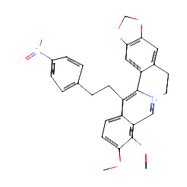 COc1ccc2c(CCc3ccc([N+](=O)[O-])cc3)c3[n+](cc2c1OC)CCc1cc2c(cc1-3)OCO2